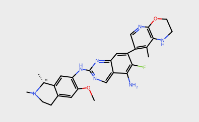 COc1cc2c(cc1Nc1ncc3c(N)c(F)c(-c4cnc5c(c4C)NCCO5)cc3n1)[C@@H](C)N(C)CC2